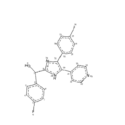 OC(c1ccc(F)cc1)c1nc(-c2ccc(F)cc2)c(-c2ccncc2)[nH]1